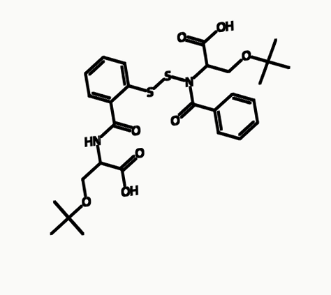 CC(C)(C)OCC(NC(=O)c1ccccc1SSN(C(=O)c1ccccc1)C(COC(C)(C)C)C(=O)O)C(=O)O